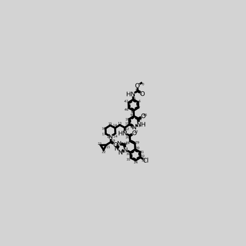 COC(=O)Nc1ccc(-c2cc(C(CC3CCCN(C(=O)C4CC4)C3)NC(=O)C=Cc3cc(Cl)ccc3-n3cnnn3)n[nH]c2=O)cc1